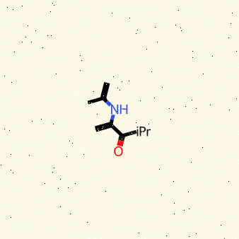 C=C(C)NC(=C)C(=O)C(C)C